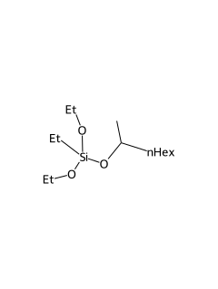 CCCCCCC(C)O[Si](CC)(OCC)OCC